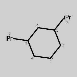 CC(C)C1C[CH]CC(C(C)C)C1